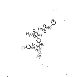 COC(=O)[C@H](CCNC(=O)C(=O)NCCc1cccnc1)NC(=O)c1ccc(Nc2nc(NC3(c4ccc(Cl)cc4)CC3)nc(OCC(F)(F)F)n2)cc1